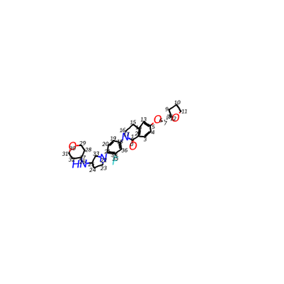 O=C1c2ccc(OC[C@@H]3CCCO3)cc2CCN1c1ccc(N2CCC(NC3CCOCC3)C2)c(F)c1